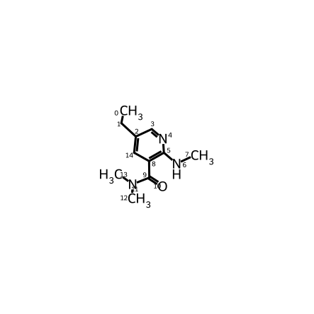 CCc1cnc(NC)c(C(=O)N(C)C)c1